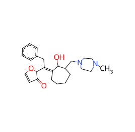 CN1CCN(CC2CCCCC(=C(Cc3ccccc3)C3OC=CC3=O)C2O)CC1